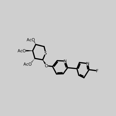 CC(=O)O[C@@H]1[C@@H](OC(C)=O)[C@H](OC(C)=O)CS[C@H]1Oc1ccc(-c2ccc(F)nc2)nc1